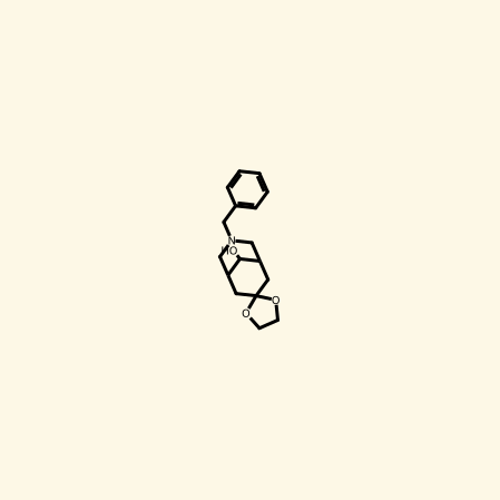 OC1C2CN(Cc3ccccc3)CC1CC1(C2)OCCO1